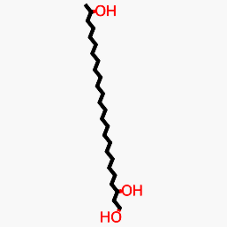 CC(O)CCCCCCCCCCCCCCCCCCCCCC(O)CCO